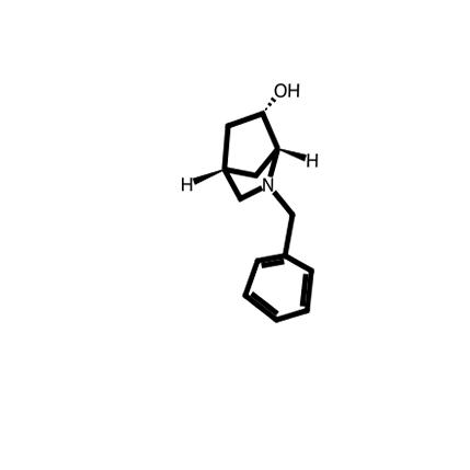 O[C@H]1C[C@@H]2C[C@H]1N(Cc1ccccc1)C2